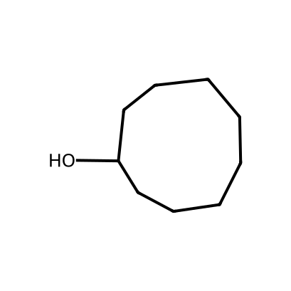 OC1CCCCCCCC1